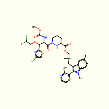 CCn1c(-c2cccnc2C(C)C)c(CC(C)(C)COC(=O)[C@@H]2CCCN(C(=O)[C@@H](NC(=O)OC(C)(C)C)[C@H](OCC(F)F)c3nc(Br)cs3)N2)c2cc(C)ccc21